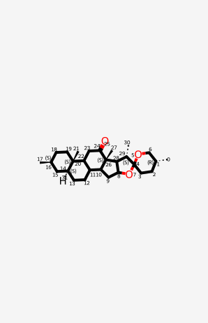 C[C@@H]1CCC2(OC1)OC1CC3C4CC[C@H]5C[C@@H](C)CC[C@]5(C)C4CC(=O)[C@]3(C)C1[C@@H]2C